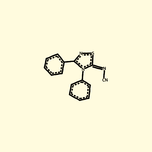 N#C/N=c1/snc(-c2ccccc2)n1-c1ccccc1